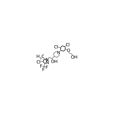 Cc1c(Cl)c(C(F)(F)F)nn1CC(O)C1CCN(c2cc(OCCO)c(Cl)cc2Cl)CC1